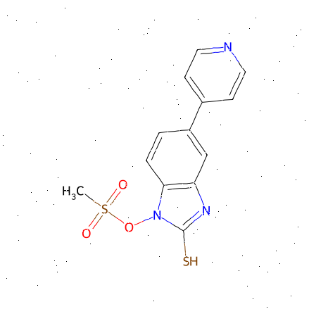 CS(=O)(=O)On1c(S)nc2cc(-c3ccncc3)ccc21